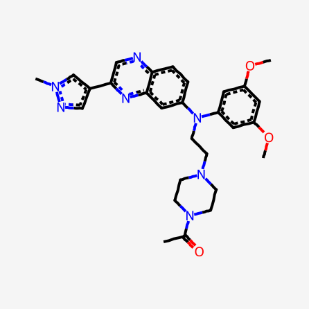 COc1cc(OC)cc(N(CCN2CCN(C(C)=O)CC2)c2ccc3ncc(-c4cnn(C)c4)nc3c2)c1